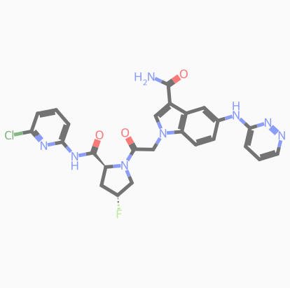 NC(=O)c1cn(CC(=O)N2C[C@H](F)C[C@H]2C(=O)Nc2cccc(Cl)n2)c2ccc(Nc3cccnn3)cc12